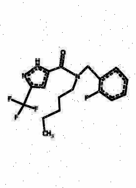 CCCCCN(Cc1ccccc1F)C(=O)c1cc(C(F)(F)F)n[nH]1